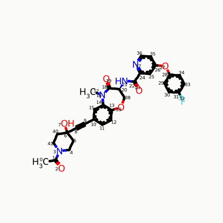 CC(=O)N1CCC(O)(C#Cc2ccc3c(c2)N(C)C(=O)[C@@H](NC(=O)c2cc(Oc4ccc(F)cc4)ccn2)CO3)CC1